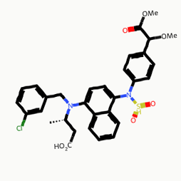 COC(=O)C(OC)c1ccc(N(c2ccc(N(Cc3cccc(Cl)c3)[C@@H](C)CC(=O)O)c3ccccc23)[SH](=O)=O)cc1